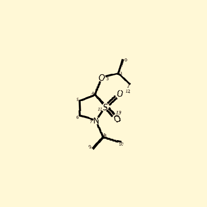 CC(C)OC1CCN(C(C)C)S1(=O)=O